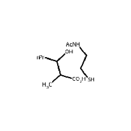 CC(=O)NCCS.CCCC(O)C(C)C(=O)O